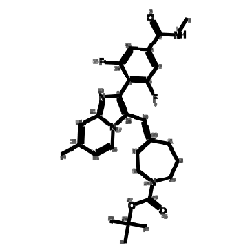 CNC(=O)c1cc(F)c(-c2nc3cc(C)ccn3c2C=C2CCCN(C(=O)OC(C)(C)C)CC2)c(F)c1